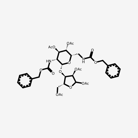 CC(=O)OC[C@H]1OC(OC(C)=O)[C@H](OC(C)=O)[C@@H]1O[C@H]1O[C@@H](CNC(=O)OCc2ccccc2)[C@@H](OC(C)=O)[C@H](OC(C)=O)[C@H]1NC(=O)OCc1ccccc1